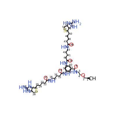 C#CCOCCNC(=O)c1cc(NC(=O)CCCCNC(=O)CCCCC2SCC3NC(=N)NC32)cc(NC(=O)CCCCNC(=O)CCCCC2SCC3NC(N)NC32)c1